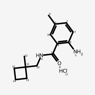 Cc1ccc(N)c(C(=O)NCC2(C)CCC2)c1.Cl